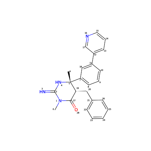 CN1C(=N)N[C@](C)(c2cccc(-c3cccnc3)c2)[C@H](Cc2ccccc2)C1=O